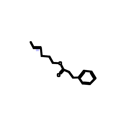 C/C=C/CCCOC(=O)CCc1ccccc1